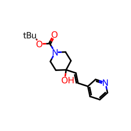 CC(C)(C)OC(=O)N1CCC(O)(C=Cc2cccnc2)CC1